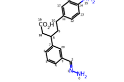 NN=Cc1cccc(C(CCc2ccc(N)cc2)CC(=O)O)c1